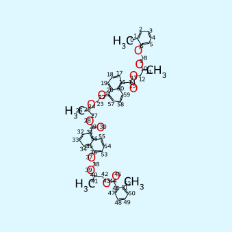 Cc1ccccc1OCOC(C)COC(=O)c1cccc2c(OCOC(C)COC(=O)c3cccc4c(OCOC(C)COC(=O)c5ccccc5C)cccc34)cccc12